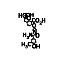 Cc1cc(C(N)C(=O)N2CC(Oc3ccc4c(c3C(=O)O)O[B-](O)(O)CC4)C2)ccc1O